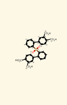 O=C(O)c1ccc(-c2ccccc2S(=O)(=O)c2ccccc2-c2ccc(C(=O)O)c(C(=O)O)c2)cc1C(=O)O